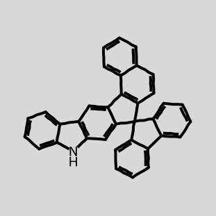 c1ccc2c(c1)-c1ccccc1C21c2cc3[nH]c4ccccc4c3cc2-c2c1ccc1ccccc21